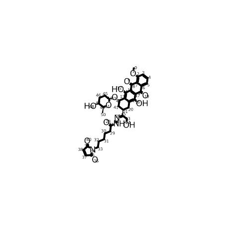 COc1cccc2c1C(=O)c1c(O)c3c(c(O)c1C2=O)C[C@@H](/C(CO)=N/NC(=O)CCCCCN1C(=O)C=CC1=O)C[C@@H]3O[C@H]1CC[C@H](O)[C@H](C)O1